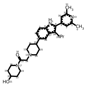 Cc1cc(-c2[nH]c3ccc(C4CCN(CC(=O)N5CCC(O)CC5)CC4)cc3c2C(C)C)cc(C)n1